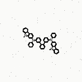 CN1C2=CC=CCC2c2ccc(N(C3=CCCC=C3)c3cccc(-c4ccccc4-c4cccc(N(c5ccccc5)c5ccc6c7ccccc7n(C)c6c5)c4)c3)cc21